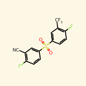 N#Cc1cc(S(=O)(=O)c2ccc(F)c(C(F)(F)F)c2)ccc1F